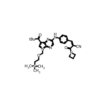 CC(C)(C)C(=O)c1cn(COCC[Si](C)(C)C)c2ncc(Nc3ccc(C=C(C#N)C(=O)N4CCC4)cc3)nc12